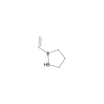 C=CB1BCCC1